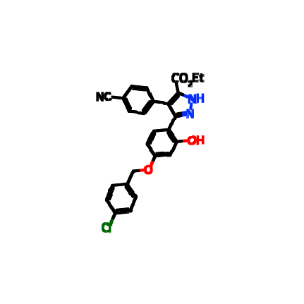 CCOC(=O)c1[nH]nc(-c2ccc(OCc3ccc(Cl)cc3)cc2O)c1-c1ccc(C#N)cc1